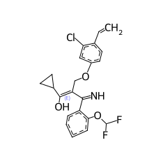 C=Cc1ccc(OC/C(C(=N)c2ccccc2OC(F)F)=C(/O)C2CC2)cc1Cl